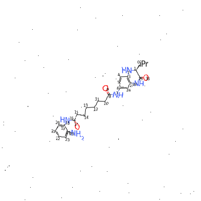 CC(C)[C@@H]1Nc2ccc(NC(=O)CCCCCCC(=O)Nc3ccccc3N)cc2NC1=O